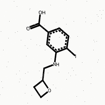 O=C(O)c1ccc(I)c(NCC2CCO2)c1